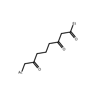 CCC(=O)CC(=O)CCCC(=O)CC(C)=O